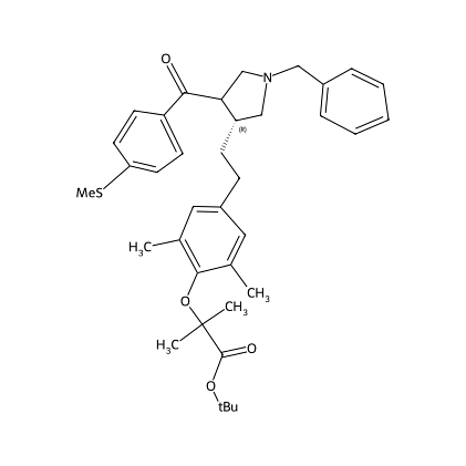 CSc1ccc(C(=O)C2CN(Cc3ccccc3)C[C@@H]2CCc2cc(C)c(OC(C)(C)C(=O)OC(C)(C)C)c(C)c2)cc1